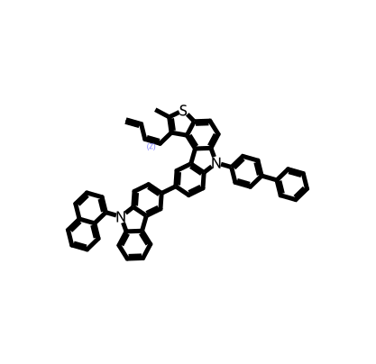 C=C/C=C\c1c(C)sc2ccc3c(c4cc(-c5ccc6c(c5)c5ccccc5n6-c5cccc6ccccc56)ccc4n3-c3ccc(-c4ccccc4)cc3)c12